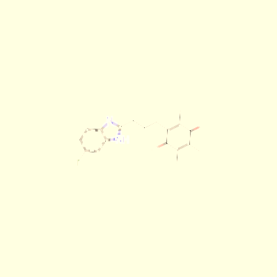 CC1=C(C)C(=O)C(CCCc2nc3ccc(Cl)cc3[nH]2)=C(C)C1=O